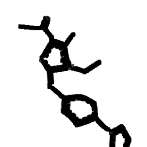 CCn1c(C)c(C(C)=O)sc1=Nc1ccc(-n2cccn2)cc1